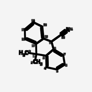 CC1(C)c2ccccc2C(C#N)c2ccccc21